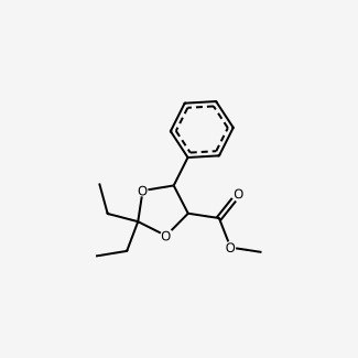 CCC1(CC)OC(C(=O)OC)C(c2ccccc2)O1